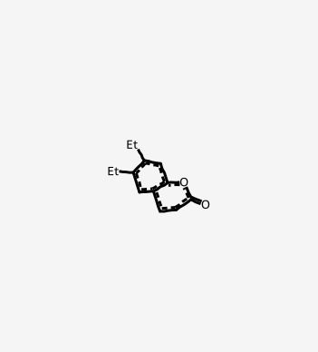 CCc1cc2ccc(=O)oc2cc1CC